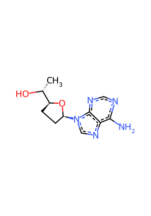 C[C@@H](O)[C@@H]1CC[C@H](n2cnc3c(N)ncnc32)O1